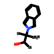 CCC(O)C(CC)(C(=O)O)n1cc2ccccc2c1